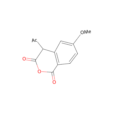 COc1ccc2c(c1)C(C(C)=O)C(=O)OC2=O